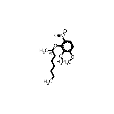 CCCCCC[C@@H](C)Oc1c([N+](=O)[O-])ccc(OC)c1OC